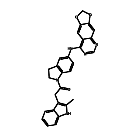 Cc1[nH]c2ccccc2c1CC(=O)N1CCc2cc(Nc3ncnc4cc5c(cc34)OCO5)ccc21